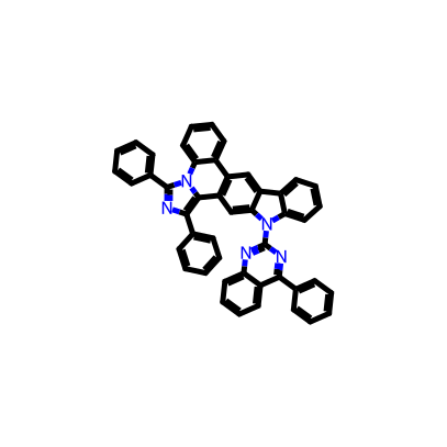 c1ccc(-c2nc(-n3c4ccccc4c4cc5c6ccccc6n6c(-c7ccccc7)nc(-c7ccccc7)c6c5cc43)nc3ccccc23)cc1